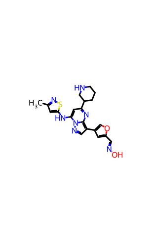 Cc1cc(Nc2cc(C3CCCNC3)nc3c(-c4coc(C=NO)c4)cnn23)sn1